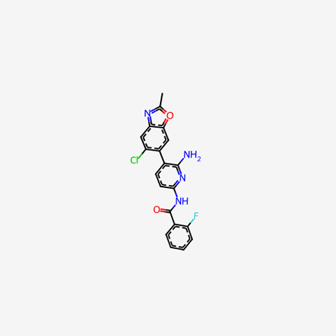 Cc1nc2cc(Cl)c(-c3ccc(NC(=O)c4ccccc4F)nc3N)cc2o1